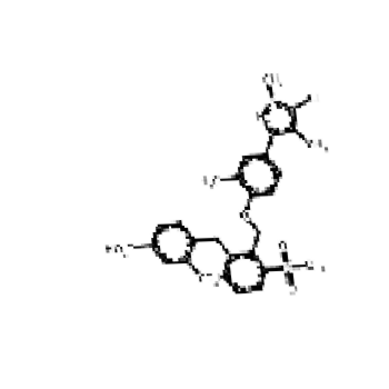 Cc1cc(-c2nn(C)c(Cl)c2C)ccc1OCc1c(Cc2ccc(C(=O)O)cc2C(=O)O)cccc1S(C)(=O)=O